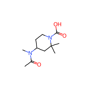 CC(=O)N(C)C1CCN(C(=O)O)C(C)(C)C1